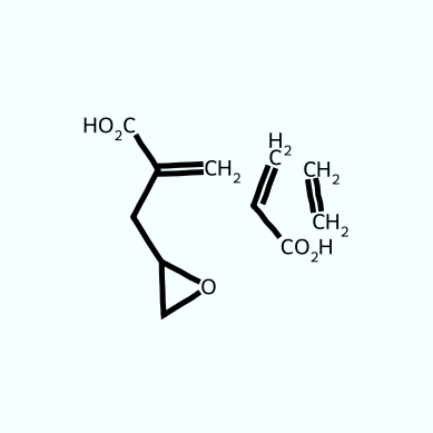 C=C.C=C(CC1CO1)C(=O)O.C=CC(=O)O